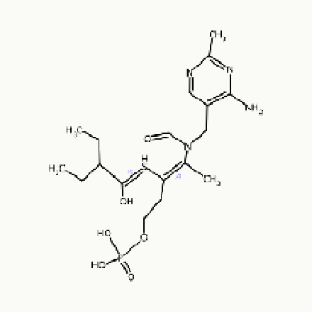 CCC(CC)/C(O)=[SH]/C(CCOP(=O)(O)O)=C(/C)N(C=O)Cc1cnc(C)nc1N